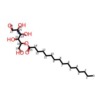 CCCCCCCCCCCCCCCC(=O)OC(CO)C(O)/C(O)=C(/O)C=O